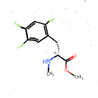 CN[C@H](Cc1cc(F)c(F)cc1F)C(=O)OC